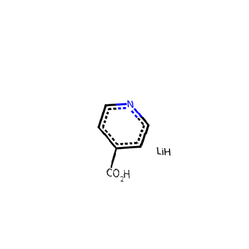 O=C(O)c1ccncc1.[LiH]